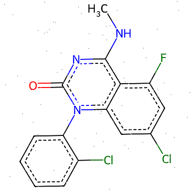 CNc1nc(=O)n(-c2ccccc2Cl)c2cc(Cl)cc(F)c12